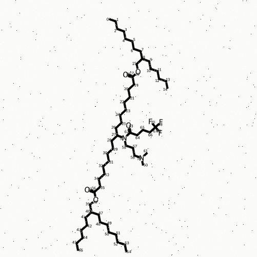 CCCCCCCCC(CCCCCC)COC(=O)CCCCCCCCC(CCCCCCCCC(=O)OCC(CCCCCC)CCCCCCCC)N(CCCN(C)C)C(=O)CCCC(F)(F)F